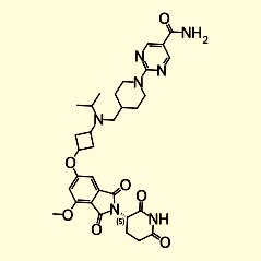 COc1cc(OC2CC(N(CC3CCN(c4ncc(C(N)=O)cn4)CC3)C(C)C)C2)cc2c1C(=O)N([C@H]1CCC(=O)NC1=O)C2=O